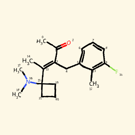 CC(=O)/C(Cc1cccc(F)c1C)=C(\C)C1(N(C)C)CCC1